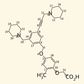 Cc1cc(OCc2cc(C#CCN3CCCCC3)cc(CN3CCCCC3)c2)ccc1OCC(=O)O